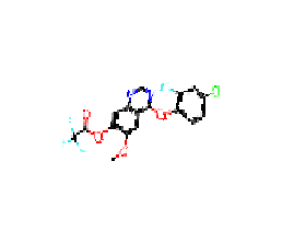 COc1cc2c(Oc3ccc(Cl)cc3F)ncnc2cc1OC(=O)C(F)(F)F